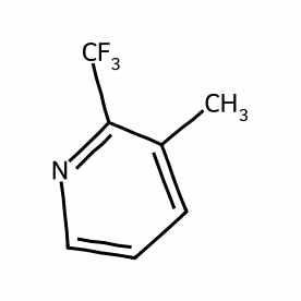 Cc1cccnc1C(F)(F)F